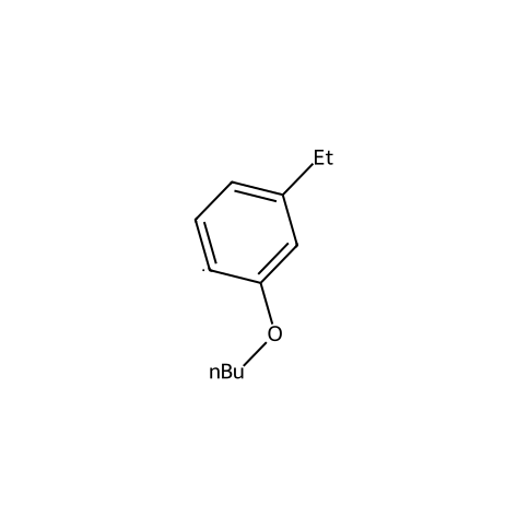 CCCCOc1[c]ccc(CC)c1